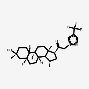 C[C@@H]1C[C@H](C(=O)Cn2cc(C(F)(F)F)cn2)[C@@]2(C)CC[C@@H]3[C@H]4CC[C@@](C)(O)C[C@H]4CC[C@H]3C12